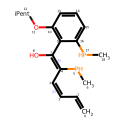 C=C/C=C\C(PC)=C(/O)c1c(OC(C)CCC)cccc1PC